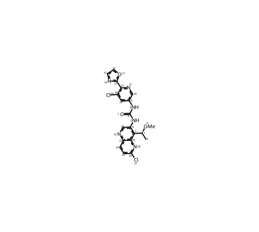 CO[C@@H](C)c1c(NC(=O)Nc2cnc(-c3ncco3)c(Cl)c2)cnc2ccc(Cl)nc12